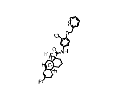 CC(C)C1=CC2=CC[C@@H]3[C@](C)(CCC[C@@]3(C)C(=O)Nc3ccc(OCc4ccccn4)c(Cl)c3)[C@H]2CC1